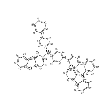 c1ccc(-c2ccc(N(c3ccc(-c4ccc(-c5ccccc5-n5c6ccccc6c6ccccc65)cc4)cc3)c3ccc4oc5ccccc5c4c3)cc2)cc1